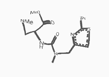 CNCC(NC(=O)N(C)Cc1csc(C(C)C)n1)C(=O)OC